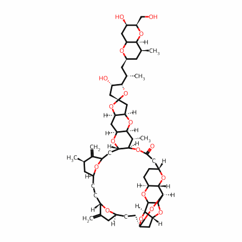 C=C1C2C[C@@H]3O[C@H]4C[C@H]5O[C@@]6(C[C@H](O)[C@H]([C@@H](C)C[C@@H]7C[C@H](C)[C@@H]8O[C@H](CO)[C@H](O)CC8O7)O6)C[C@H]5O[C@H]4[C@H](C)[C@H]3OC(=O)C[C@H]3CC[C@@H]4OC5C6O[C@@H]7C[C@](CC[C@H]8CC(=C)[C@H](CC[C@@H](C[C@H]1C)O2)O8)(O[C@H]6[C@H]4O3)O[C@@H]57